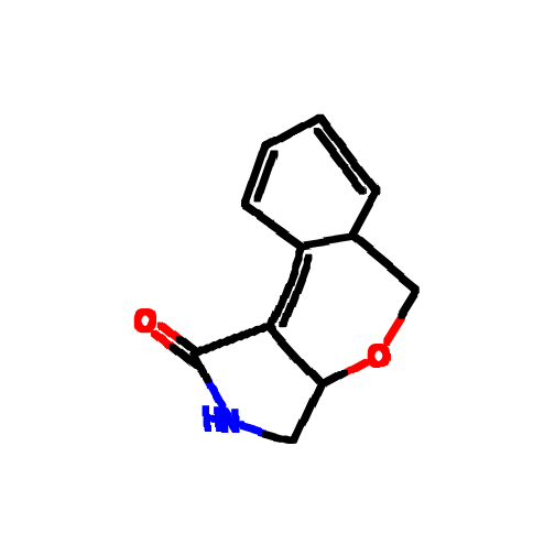 O=C1NCC2OCC3C=CC=CC3=C12